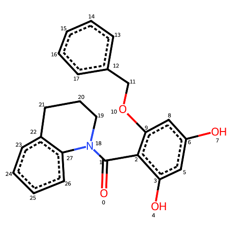 O=C(c1c(O)cc(O)cc1OCc1ccccc1)N1CCCc2ccccc21